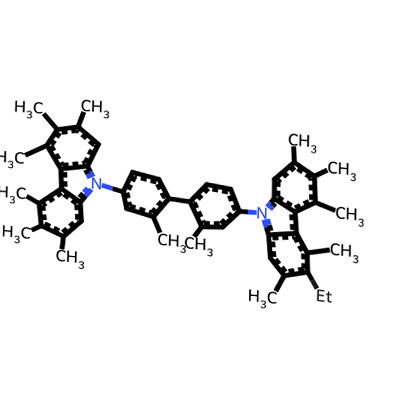 CCc1c(C)cc2c(c1C)c1c(C)c(C)c(C)cc1n2-c1ccc(-c2ccc(-n3c4cc(C)c(C)c(C)c4c4c(C)c(C)c(C)cc43)cc2C)c(C)c1